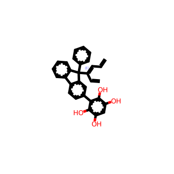 C=C/C=C(\C=C)C1(c2ccccc2)c2ccccc2-c2ccc(-c3c(O)c(O)cc(O)c3O)cc21